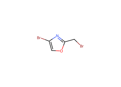 BrCc1nc(Br)co1